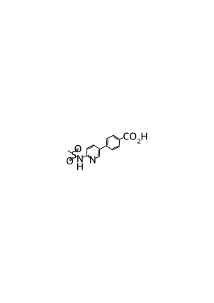 CS(=O)(=O)Nc1ccc(-c2ccc(C(=O)O)cc2)cn1